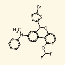 CN(c1ccccc1)c1ccc2c(c1)C(c1ccc(Br)s1)Oc1cccc(OC(F)F)c1-2